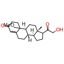 COCC12CCC(=O)C=C1CC[C@@H]1[C@@H]2CC[C@]2(C)C(C(=O)CO)CC[C@@H]12